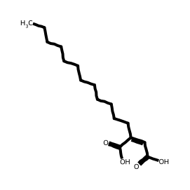 CCCCCCCCCCCCC(=CC(=O)O)C(=O)O